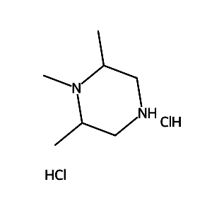 CC1CNCC(C)N1C.Cl.Cl